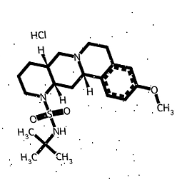 COc1ccc2c(c1)CCN1C[C@H]3CCCN(S(=O)(=O)NC(C)(C)C)[C@H]3C[C@@H]21.Cl